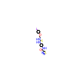 O=C(Nc1ccc(NC(=S)NCCOc2ccc(I)cc2)cc1)c1csnn1